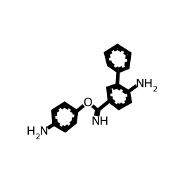 N=C(Oc1ccc(N)cc1)c1ccc(N)c(-c2ccccc2)c1